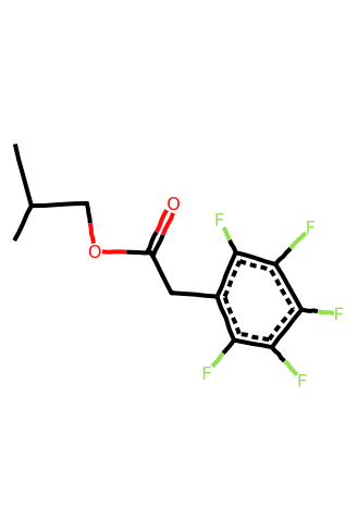 CC(C)COC(=O)Cc1c(F)c(F)c(F)c(F)c1F